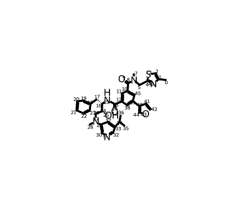 Cc1csc(CN(C)C(=O)c2cc(C(=O)N[C@@H](Cc3ccccc3)[C@H](O)CN(C)c3cncc(C(C)C)c3)cc(-c3ccoc3)c2)n1